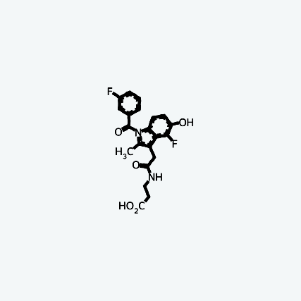 Cc1c(CC(=O)NCCC(=O)O)c2c(F)c(O)ccc2n1C(=O)c1cccc(F)c1